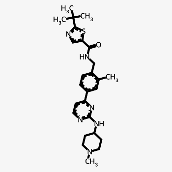 Cc1cc(-c2ccnc(NC3CCN(C)CC3)n2)ccc1CNC(=O)c1cnc(C(C)(C)C)s1